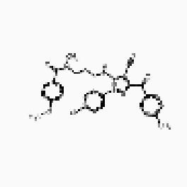 COc1ccc(C(=O)N(C)CCCNc2c(C#N)c(C(=O)c3ccc(C)cc3)nn2-c2ccc(Cl)cc2)cc1